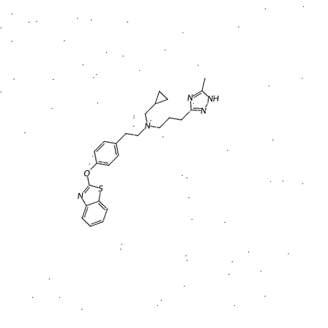 Cc1nc(CCCN(CCc2ccc(Oc3nc4ccccc4s3)cc2)CC2CC2)n[nH]1